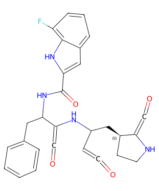 O=C=CC(C[C@@H]1CCNC1=C=O)NC(=C=O)C(Cc1ccccc1)NC(=O)c1cc2cccc(F)c2[nH]1